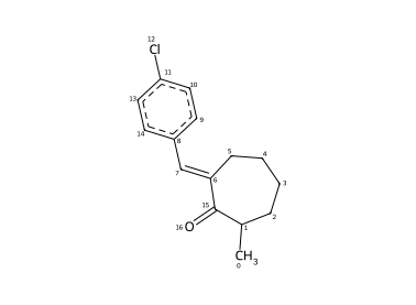 CC1CCCCC(=Cc2ccc(Cl)cc2)C1=O